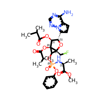 COC(=O)[C@H](C)N[P@](=O)(Oc1ccccc1)OC1[C@@]2(CF)O[C@@H](c3ccc4c(N)ncnn34)[C@H](OC(=O)C(C)C)[C@@]12OC(=O)C(C)C